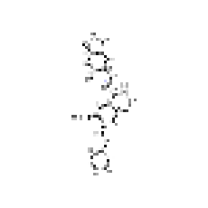 COc1cc2c(cc1OCc1ccccc1)CCNC2/C=C/c1cc2c(cc1C)OCC2